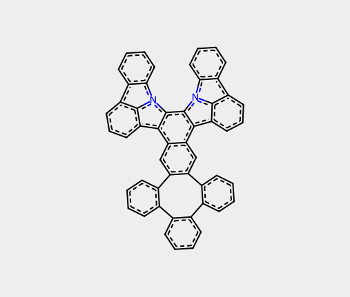 c1ccc2c(c1)-c1ccccc1-c1cc3c(cc1-c1ccccc1-2)c1c2cccc4c5ccccc5n(c42)c1c1c3c2cccc3c4ccccc4n1c32